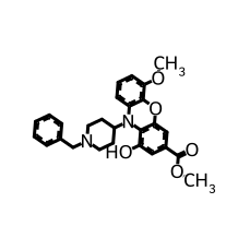 COC(=O)c1cc(O)c2c(c1)Oc1c(OC)cccc1N2C1CCN(Cc2ccccc2)CC1